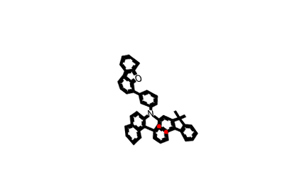 CC1(C)c2ccccc2-c2ccc(N(c3cccc(-c4cccc5c4oc4ccccc45)c3)c3ccc4ccccc4c3-c3ccccc3)cc21